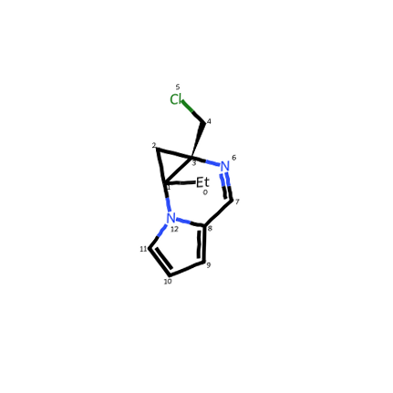 CCC12C[C@]1(CCl)N=Cc1cccn12